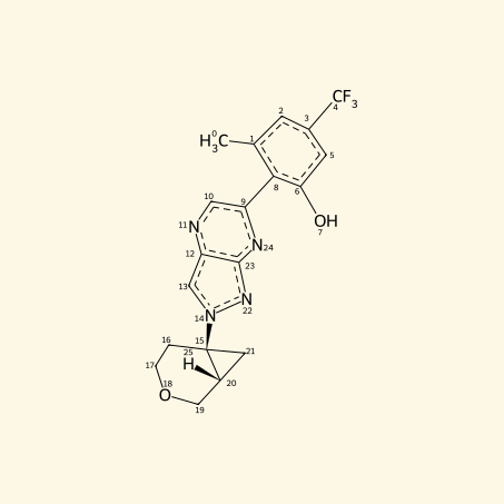 Cc1cc(C(F)(F)F)cc(O)c1-c1cnc2cn([C@]34CCOC[C@H]3C4)nc2n1